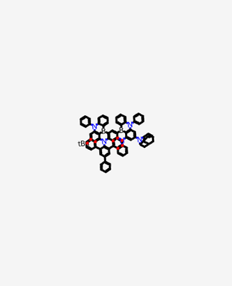 CC(C)(C)c1cc2c3c(c1)N(c1c(-c4ccccc4)cc(-c4ccccc4)cc1-c1ccccc1)c1cc4c(cc1B3c1ccccc1N2c1ccccc1)B1c2ccccc2N(c2ccccc2)c2cc(N3C5C=C6CC(C5)CC3C6)cc(c21)N4c1ccccc1